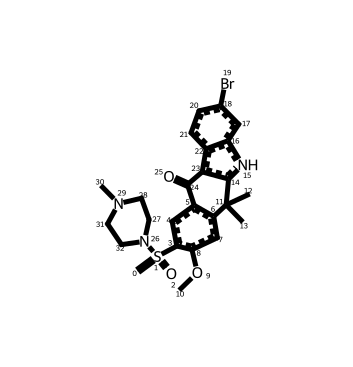 C=S(=O)(c1cc2c(cc1OC)C(C)(C)c1[nH]c3cc(Br)ccc3c1C2=O)N1CCN(C)CC1